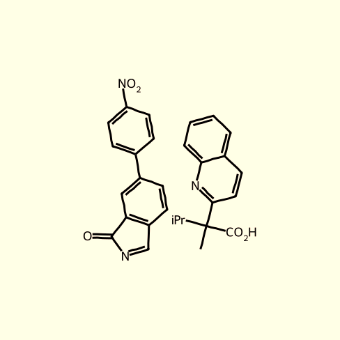 CC(C)C(C)(C(=O)O)c1ccc2ccccc2n1.O=C1N=Cc2ccc(-c3ccc([N+](=O)[O-])cc3)cc21